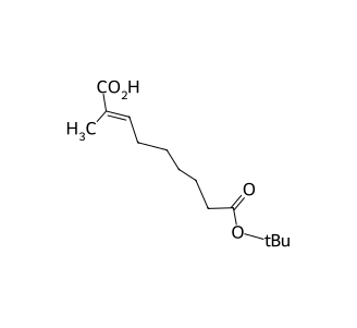 CC(=CCCCCCC(=O)OC(C)(C)C)C(=O)O